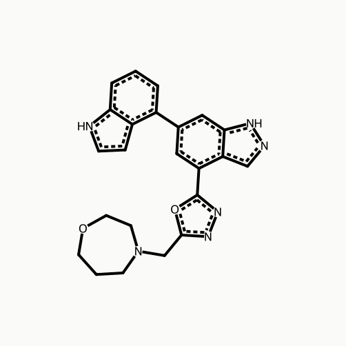 c1cc(-c2cc(-c3nnc(CN4CCCOCC4)o3)c3cn[nH]c3c2)c2cc[nH]c2c1